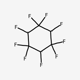 F[C]1C(F)(F)[C](F)C(F)(F)[C](F)C1(F)F